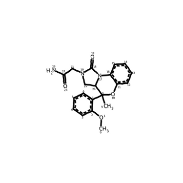 COc1ccccc1C1(C)Oc2ccccc2N2C(=O)N(CC(N)=O)CC21